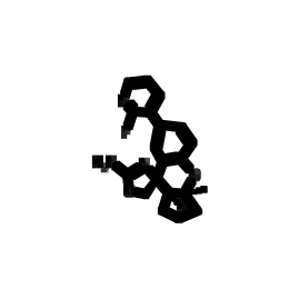 C[C@]12CCC[C@H]1[C@@]1(COC(N)=N1)c1cc(-c3cccnc3F)ccc1O2